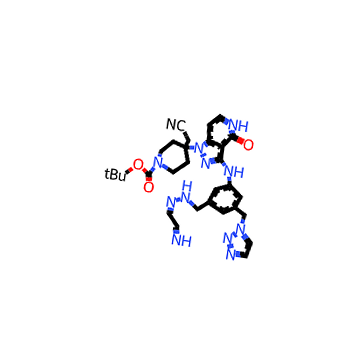 CC(C)(C)OC(=O)N1CCC(CC#N)(n2nc(Nc3cc(CN/N=C\C=N)cc(Cn4ccnn4)c3)c3c(=O)[nH]ccc32)CC1